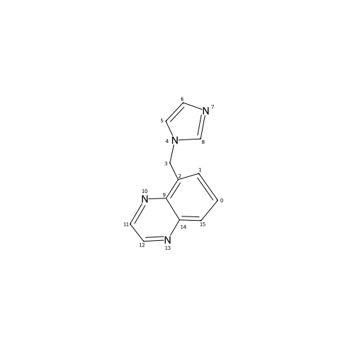 c1cc(Cn2ccnc2)c2nccnc2c1